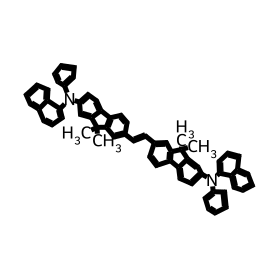 CC1(C)c2cc(/C=C/c3ccc4c(c3)C(C)(C)c3cc(N(c5ccccc5)c5cccc6ccccc56)ccc3-4)ccc2-c2ccc(N(c3ccccc3)c3cccc4ccccc34)cc21